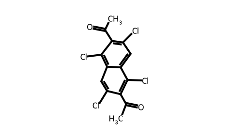 CC(=O)c1c(Cl)cc2c(Cl)c(C(C)=O)c(Cl)cc2c1Cl